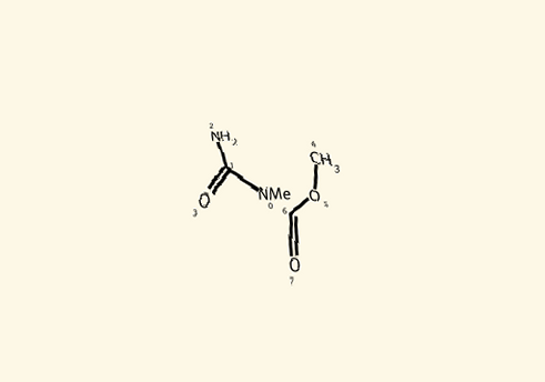 CNC(N)=O.COC=O